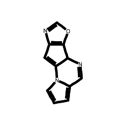 C1=NC2C(=Cc3ncoc32)n2cccc21